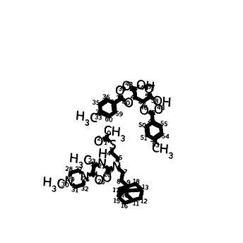 CC(=O)SCCN(CCC12CC3CC(CC(C3)C1)C2)C(=O)N[C@@H](C)C(=O)N1CCN(C)CC1.Cc1ccc(C(=O)O[C@@H](C(=O)O)[C@@H](OC(=O)c2ccc(C)cc2)C(=O)O)cc1